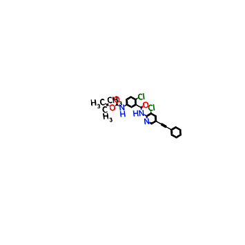 CC(C)(C)OC(=O)Nc1ccc(Cl)c(C(=O)Nc2ncc(C#Cc3ccccc3)cc2Cl)c1